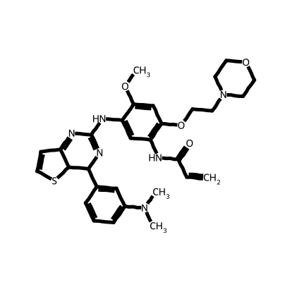 C=CC(=O)Nc1cc(NC2=NC(c3cccc(N(C)C)c3)C3SC=CC3=N2)c(OC)cc1OCCN1CCOCC1